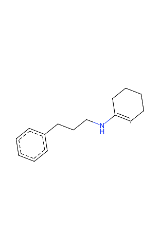 [C]1=C(NCCCc2ccccc2)CCCC1